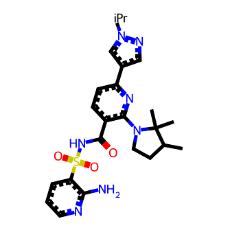 CC(C)n1cc(-c2ccc(C(=O)NS(=O)(=O)c3cccnc3N)c(N3CCC(C)C3(C)C)n2)cn1